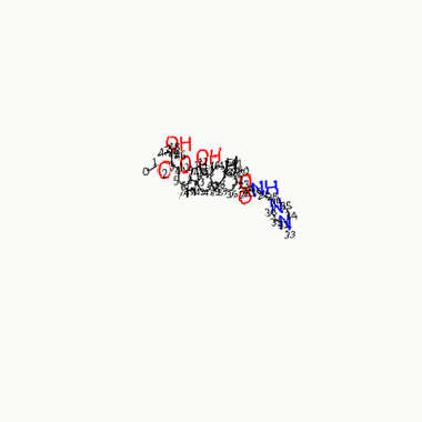 CCO[C@@H](C1C[C@@H](C)[C@H]2C(O1)[C@H](O)[C@@]1(C)C3CC[C@H]4C(C)(C)[C@@H](OC(=O)NCCN5CCN(C)CC5)CC[C@@]45CC35CC[C@]21C)C(C)(C)O